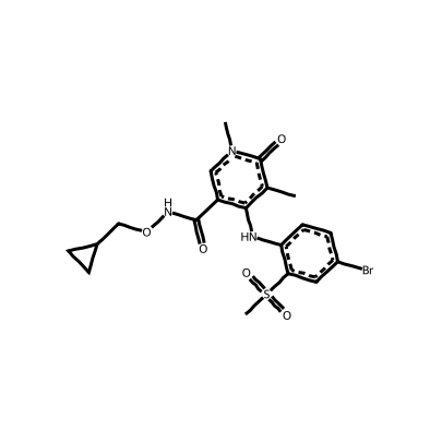 Cc1c(Nc2ccc(Br)cc2S(C)(=O)=O)c(C(=O)NOCC2CC2)cn(C)c1=O